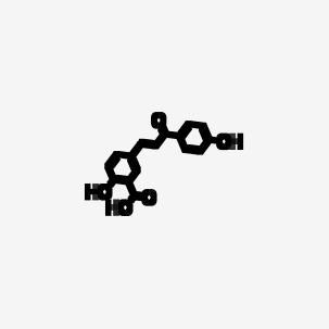 O=C(C=Cc1ccc(O)c(C(=O)O)c1)c1ccc(O)cc1